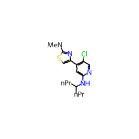 CCCC(CCC)Nc1cc(-c2csc(NC)n2)c(Cl)cn1